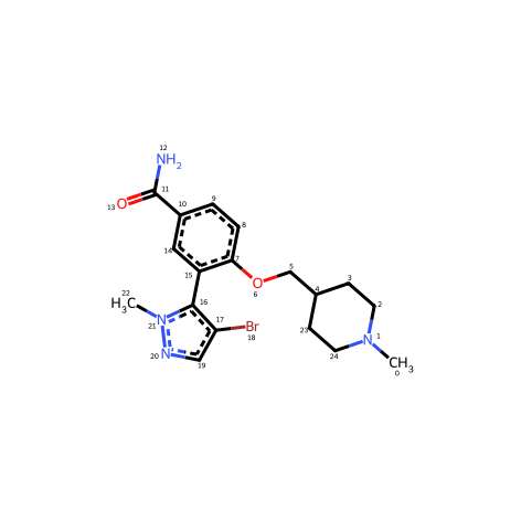 CN1CCC(COc2ccc(C(N)=O)cc2-c2c(Br)cnn2C)CC1